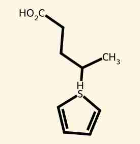 CC(CCC(=O)O)[SH]1C=CC=C1